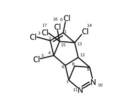 ClC1=C(Cl)C2(Cl)C3C4CC(N=N4)C3C1(Cl)C2(Cl)Cl